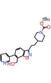 CC(C)(C)OC(=O)N1CCC(CCc2noc3c(CO)c(-c4cccnc4)ccc23)CC1